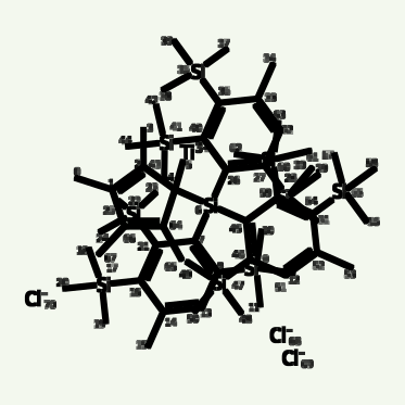 CC1=C(C)[C]([Ti+3])([Si](c2c([Si](C)(C)C)cc(C)c([Si](C)(C)C)c2[Si](C)(C)C)(c2c([Si](C)(C)C)cc(C)c([Si](C)(C)C)c2[Si](C)(C)C)c2c([Si](C)(C)C)cc(C)c([Si](C)(C)C)c2[Si](C)(C)C)C(C)=C1C.[Cl-].[Cl-].[Cl-]